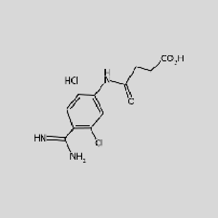 Cl.N=C(N)c1ccc(NC(=O)CCC(=O)O)cc1Cl